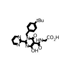 CC(C)(C)c1ccc(Cn2c(-c3ncccn3)nc(O)c(C(=O)NCC(=O)O)c2=O)cc1